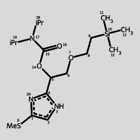 CSc1c[nH]c(C(COCC[Si](C)(C)C)OC(=O)N(C(C)C)C(C)C)n1